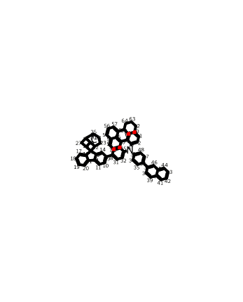 c1ccc(N(c2ccc(-c3ccc4c(c3)C3(c5ccccc5-4)C4CC5CC6CC3C64C5)cc2)c2ccc(-c3ccc4ccccc4c3)cc2)c(-c2cccc3cccc(C4CCCCC4)c23)c1